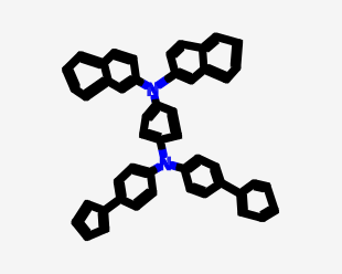 C1=CC=C(c2ccc(N(c3ccc(-c4ccccc4)cc3)c3ccc(N(c4ccc5ccccc5c4)c4ccc5ccccc5c4)cc3)cc2)C=1